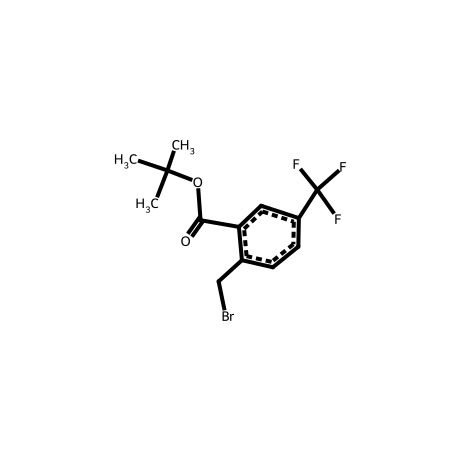 CC(C)(C)OC(=O)c1cc(C(F)(F)F)ccc1CBr